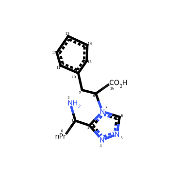 CCCC(N)c1nncn1C(Cc1ccccc1)C(=O)O